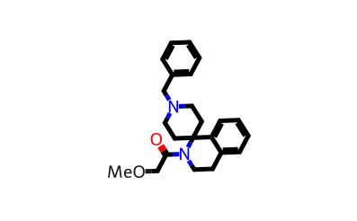 COCC(=O)N1CCc2ccccc2C12CCN(Cc1ccccc1)CC2